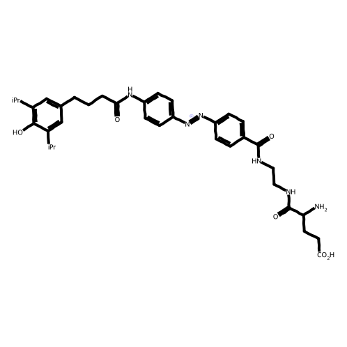 CC(C)c1cc(CCCC(=O)Nc2ccc(/N=N/c3ccc(C(=O)NCCNC(=O)C(N)CCC(=O)O)cc3)cc2)cc(C(C)C)c1O